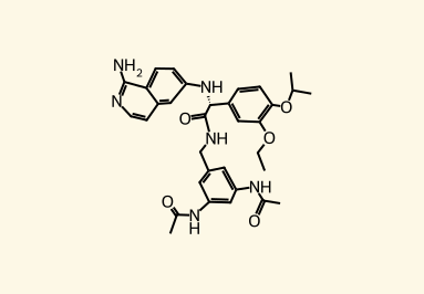 CCOc1cc([C@@H](Nc2ccc3c(N)nccc3c2)C(=O)NCc2cc(NC(C)=O)cc(NC(C)=O)c2)ccc1OC(C)C